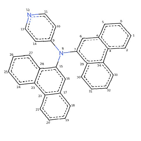 c1ccc2c(c1)cc(N(c1ccncc1)c1cc3ccccc3c3ccccc13)c1ccccc12